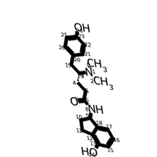 CN(C)[C@H](CCC(=O)NC1CCc2c(O)cccc21)Cc1ccc(O)cc1